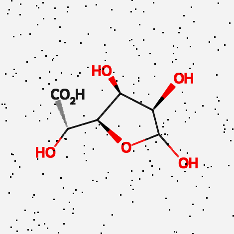 O=C(O)[C@@H](O)[C@@H]1OC(O)[C@H](O)[C@@H]1O